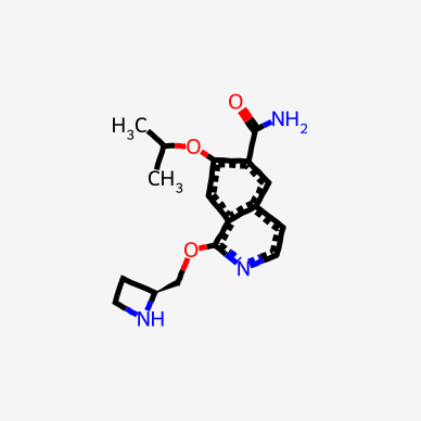 CC(C)Oc1cc2c(OC[C@@H]3CCN3)nccc2cc1C(N)=O